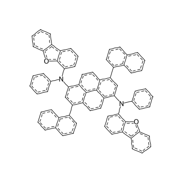 c1ccc(N(c2cc(-c3cccc4ccccc34)c3ccc4c(N(c5ccccc5)c5cccc6c5oc5ccccc56)cc(-c5cccc6ccccc56)c5ccc2c3c54)c2cccc3c2oc2ccccc23)cc1